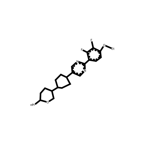 CCCC1CCC(C2CCC(c3cnc(-c4ccc(OCC)c(F)c4F)nc3)CC2)CO1